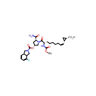 CC(C)(C)OC(=O)N[C@@H](CCCCC/C=C\[C@@H]1C[C@@H]1C(=O)O)C(=O)N1C[C@H](OC(=O)N2CC3C=CC=C(F)C3C2)C[C@H]1C(N)=O